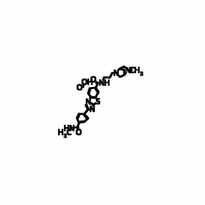 CNC(=O)c1ccc(-c2cn3c(n2)sc2cc(C(=O)NCCCN4CC5CC4CN5C)ccc23)cc1.O=CO